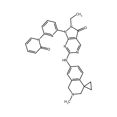 CCn1c(=O)c2cnc(Nc3ccc4c(c3)CN(C)CC43CC3)nc2n1-c1cccc(-n2ccccc2=O)n1